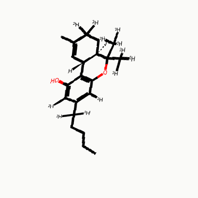 [2H]c1c(O)c2c(c([2H])c1C([2H])([2H])CCCC)OC(C([2H])([2H])[2H])(C([2H])([2H])[2H])[C@@H]1CC([2H])([2H])C(C)=C[C@@H]21